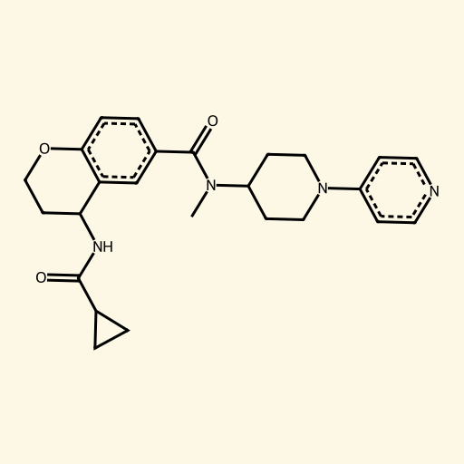 CN(C(=O)c1ccc2c(c1)C(NC(=O)C1CC1)CCO2)C1CCN(c2ccncc2)CC1